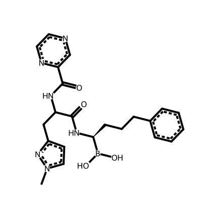 Cn1ccc(CC(NC(=O)c2cnccn2)C(=O)N[C@@H](CCCc2ccccc2)B(O)O)n1